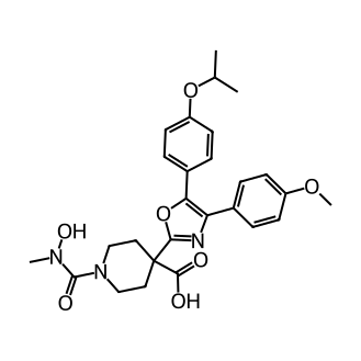 COc1ccc(-c2nc(C3(C(=O)O)CCN(C(=O)N(C)O)CC3)oc2-c2ccc(OC(C)C)cc2)cc1